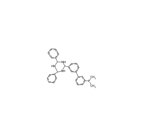 CP(C)c1cccc(-c2cccc(C3NC(c4ccccc4)NC(c4ccccc4)N3)c2)c1